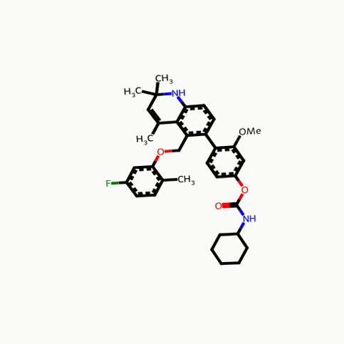 COc1cc(OC(=O)NC2CCCCC2)ccc1-c1ccc2c(c1COc1cc(F)ccc1C)C(C)=CC(C)(C)N2